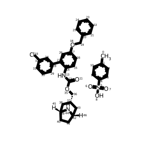 Cc1ccc(S(=O)(=O)O)cc1.O=C(Nc1ccc(OCc2ccccc2)cc1-c1cccc(Cl)c1)OC[C@H]1C[C@H]2CC[C@@H](C1)N2